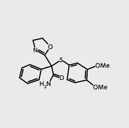 COc1ccc(SC(C(N)=O)(C2=NCCO2)c2ccccc2)cc1OC